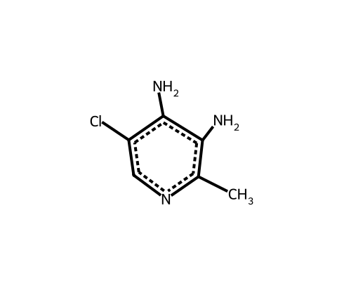 Cc1ncc(Cl)c(N)c1N